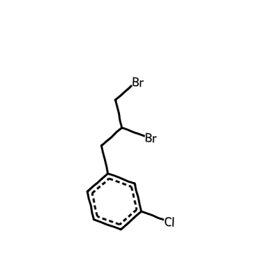 Clc1cccc(CC(Br)CBr)c1